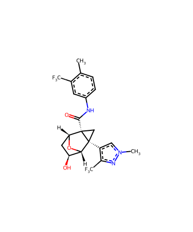 Cc1ccc(NC(=O)[C@]23C[C@@]2(c2cn(C)nc2C(F)(F)F)[C@H]2O[C@@H]3C[C@@H]2O)cc1C(F)(F)F